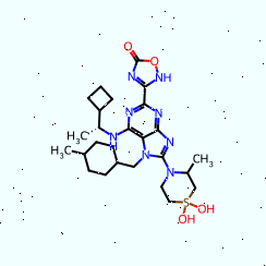 CC1CCC(Cn2c(N3CCS(O)(O)CC3C)nc3nc(-c4nc(=O)o[nH]4)nc(N[C@H](C)C4CCC4)c32)CC1